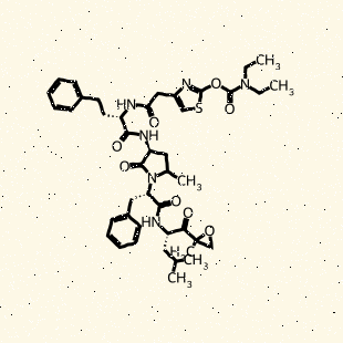 CCN(CC)C(=O)Oc1nc(CC(=O)N[C@@H](CCc2ccccc2)C(=O)N[C@H]2CC(C)N([C@@H](Cc3ccccc3)C(=O)N[C@@H](CC(C)C)C(=O)C3(C)CO3)C2=O)cs1